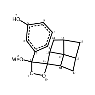 COC1(c2cccc(O)c2)OOC12C1CC3CC4CC2C341